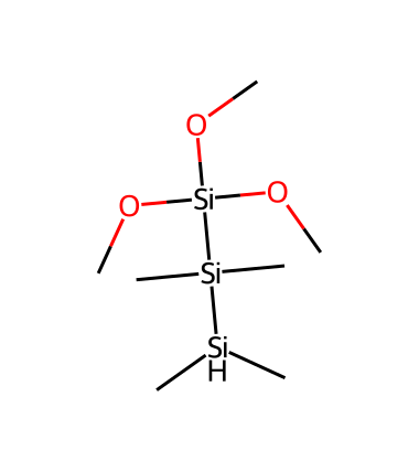 CO[Si](OC)(OC)[Si](C)(C)[SiH](C)C